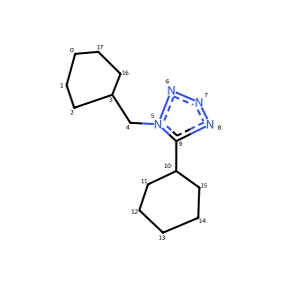 C1CCC(Cn2nnnc2C2CCCCC2)CC1